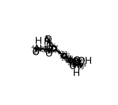 COCCOc1ccc(C#Cc2ccc(N3CCN(S(=O)(=O)NC(C(=O)O)C(C)C)CC3)cc2)cc1C(=O)NCCCNC(C)=O